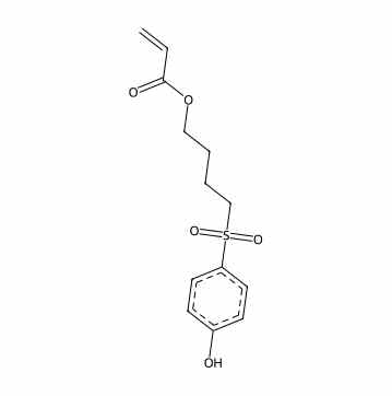 C=CC(=O)OCCCCS(=O)(=O)c1ccc(O)cc1